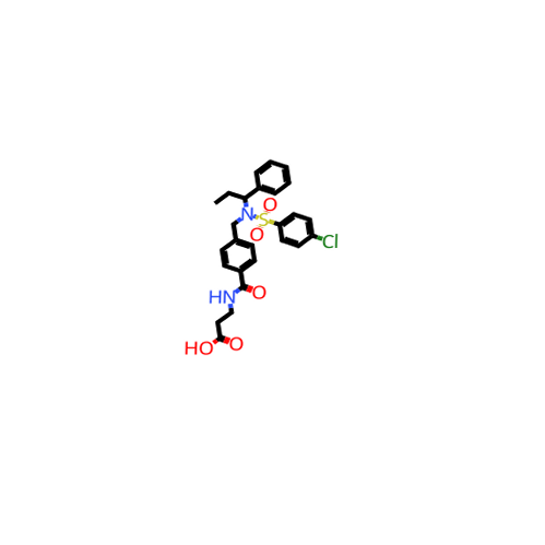 CCC(c1ccccc1)N(Cc1ccc(C(=O)NCCC(=O)O)cc1)S(=O)(=O)c1ccc(Cl)cc1